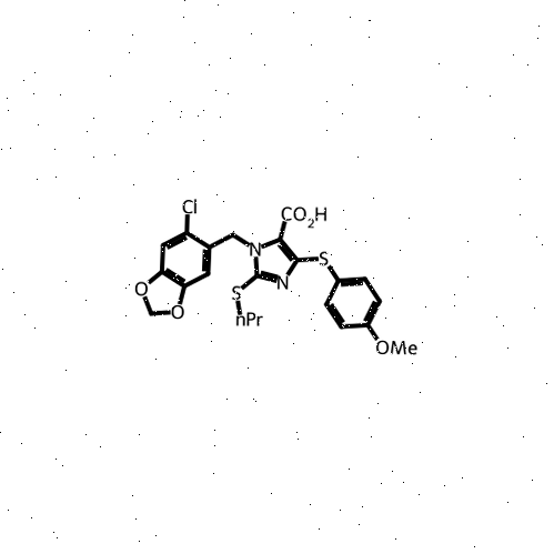 CCCSc1nc(Sc2ccc(OC)cc2)c(C(=O)O)n1Cc1cc2c(cc1Cl)OCO2